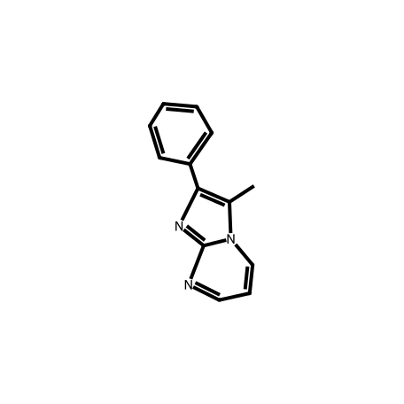 Cc1c(-c2ccccc2)nc2ncccn12